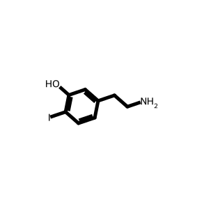 NCCc1ccc(I)c(O)c1